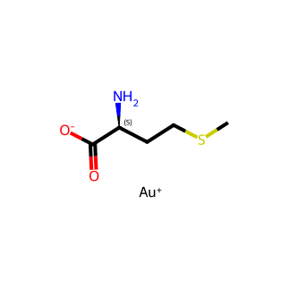 CSCC[C@H](N)C(=O)[O-].[Au+]